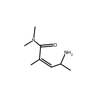 CC(=CC(C)N)C(=O)N(C)C